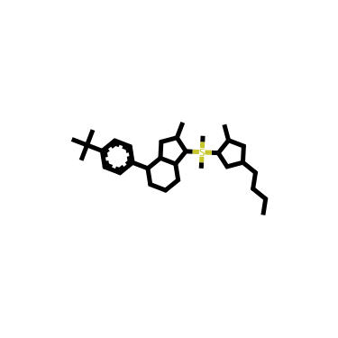 CCCCC1CC(C)C(S(C)(C)C2C(C)CC3C(c4ccc(C(C)(C)C)cc4)CCCC32)C1